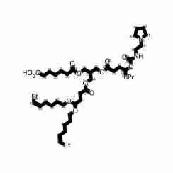 CC/C=C\CCCCOC(CCC(=O)OCC(COC(=O)CCCCCC(=O)O)COC(=O)CCC(CCC)OC(=O)NCCN1CCCC1)OCCCC/C=C\CC